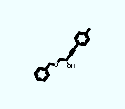 Cc1ccc(C#C[C@H](O)COCc2ccccc2)cc1